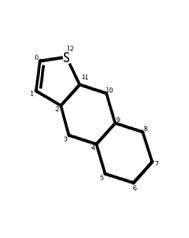 C1=CC2CC3CCCCC3CC2S1